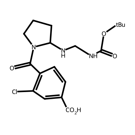 CC(C)(C)OC(=O)NCNC1CCCN1C(=O)c1ccc(C(=O)O)cc1Cl